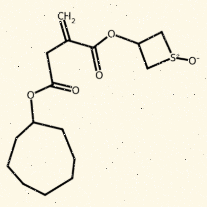 C=C(CC(=O)OC1CCCCCCC1)C(=O)OC1C[S+]([O-])C1